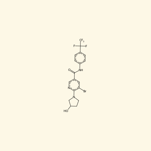 O=C(Nc1ccc(C(F)(F)C(F)(F)F)cc1)c1cnc(N2CCC(O)C2)c(Br)c1